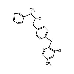 CN(C(=O)Oc1ccc(Cc2ncc(C(F)(F)F)cc2Cl)cc1)c1ccccc1